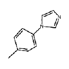 Cc1ccc(-n2ccnc2)cc1